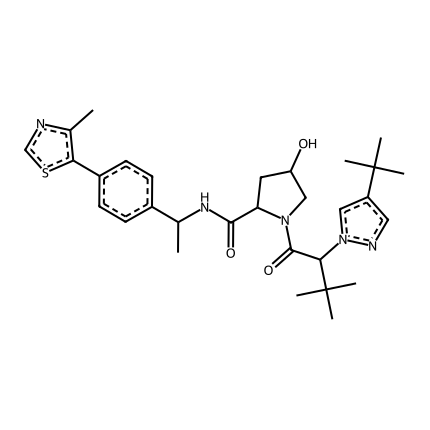 Cc1ncsc1-c1ccc(C(C)NC(=O)C2CC(O)CN2C(=O)C(n2cc(C(C)(C)C)cn2)C(C)(C)C)cc1